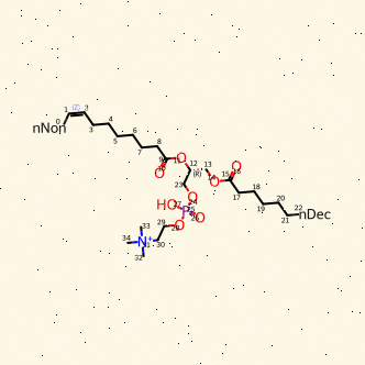 CCCCCCCCC/C=C\CCCCCCC(=O)O[C@H](COC(=O)CCCCCCCCCCCCCCC)COP(=O)(O)OCC[N+](C)(C)C